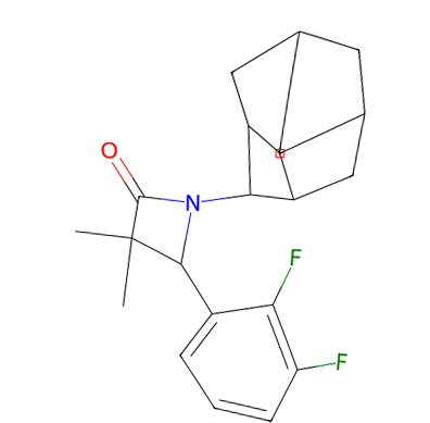 CC1(C)C(=O)N(C2C3CC4CC(C3)CC2C4)C1c1cccc(F)c1F